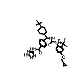 CC(C)(C)C1CCC(C(NC(=O)Nc2ccc(OCC3CC3)cc2C(F)(F)F)c2ccc(C(=O)Nc3nn[nH]n3)cc2)CC1